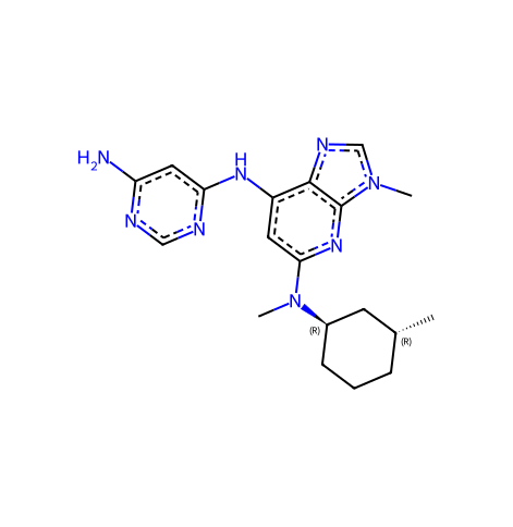 C[C@@H]1CCC[C@@H](N(C)c2cc(Nc3cc(N)ncn3)c3ncn(C)c3n2)C1